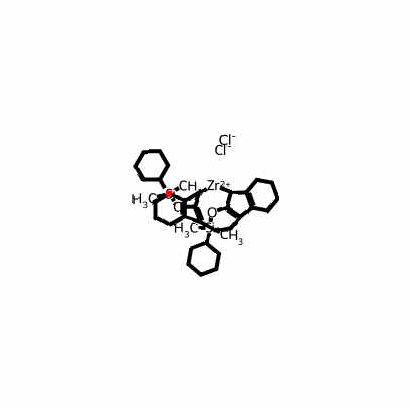 C[Si](C)(OC1=C2CCC3=C(O[Si](C)(C)C4CCCCC4)[CH]([Zr+2][CH]1C1=C2CCCC1)C1=C3CCCC1)C1CCCCC1.[Cl-].[Cl-]